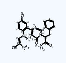 NC(=O)C(Cc1ccccc1)n1cnc(-c2cc(Cl)ccc2N(N)/C=C(\N)Cl)cc1=O